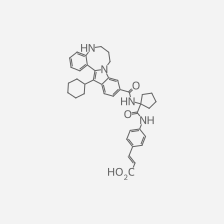 O=C(O)/C=C/c1ccc(NC(=O)C2(NC(=O)c3ccc4c(C5CCCCC5)c5n(c4c3)CCCNc3ccccc3-5)CCCC2)cc1